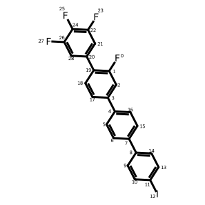 Fc1cc(-c2ccc(-c3ccc(I)cc3)cc2)ccc1-c1cc(F)c(F)c(F)c1